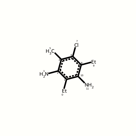 CCc1c(N)c(C)c(Cl)c(CC)c1N